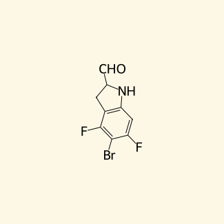 O=CC1Cc2c(cc(F)c(Br)c2F)N1